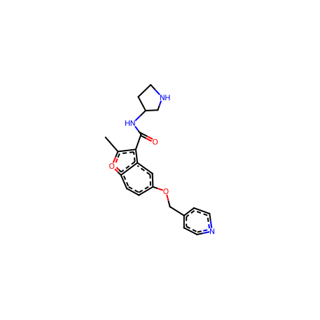 Cc1oc2ccc(OCc3ccncc3)cc2c1C(=O)NC1CCNC1